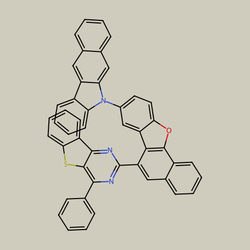 c1ccc(-c2nc(-c3cc4ccccc4c4oc5ccc(-n6c7ccccc7c7cc8ccccc8cc76)cc5c34)nc3c2sc2ccccc23)cc1